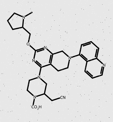 CN1CCCC1COc1nc2c(c(N3CCN(C(=O)O)C(CC#N)C3)n1)CCN(c1cccc3ncccc13)C2